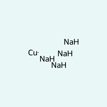 [Cu].[NaH].[NaH].[NaH].[NaH]